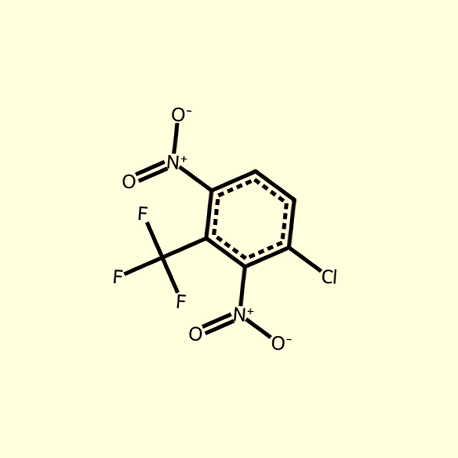 O=[N+]([O-])c1ccc(Cl)c([N+](=O)[O-])c1C(F)(F)F